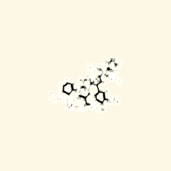 COC(=O)C1=C(C)N(c2cccc(C(F)(F)F)c2)c2n[nH]c(=O)n2[C@@H]1c1ccc(C#N)cc1CCC[N+](C)(C)c1nnco1.[Cl-]